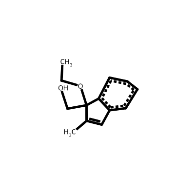 CCOC1(CO)C(C)=Cc2ccccc21